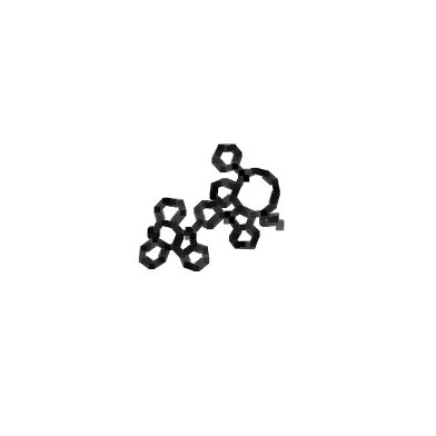 C=C1/C=C\C=C/CN(c2ccccc2)c2ccccc2-c2c1c1ccccc1n2-c1cccc(-n2c3c(c4ccccc42)-c2ccccc2Oc2ccccc2-3)c1